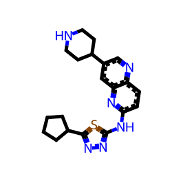 c1nc2ccc(Nc3nnc(C4CCCC4)s3)nc2cc1C1CCNCC1